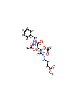 COC(=O)CCCNC(=O)[C@H](OC(C)=O)[C@@H](OC(C)=O)C(=O)NCc1ccccc1